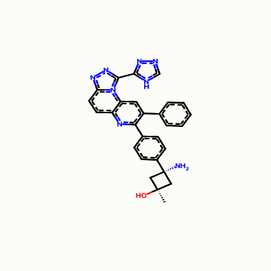 C[C@]1(O)C[C@@](N)(c2ccc(-c3nc4ccc5nnc(-c6nnc[nH]6)n5c4cc3-c3ccccc3)cc2)C1